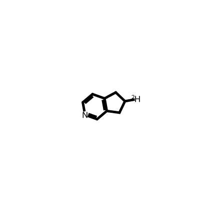 [2H]C1Cc2ccncc2C1